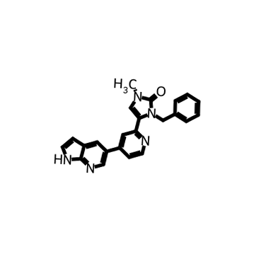 Cn1cc(-c2cc(-c3cnc4[nH]ccc4c3)ccn2)n(Cc2ccccc2)c1=O